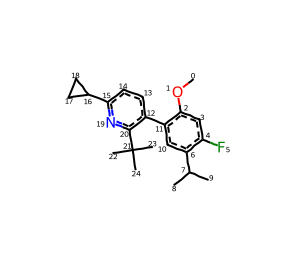 COc1cc(F)c(C(C)C)cc1-c1ccc(C2CC2)nc1C(C)(C)C